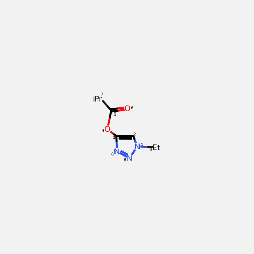 CCn1cc(OC(=O)C(C)C)nn1